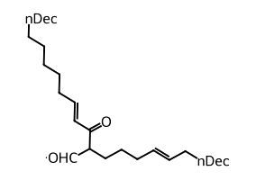 CCCCCCCCCCC/C=C/CCCC([C]=O)C(=O)C=CCCCCCCCCCCCCCCC